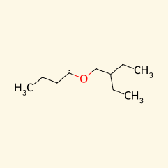 CCC[CH]OCC(CC)CC